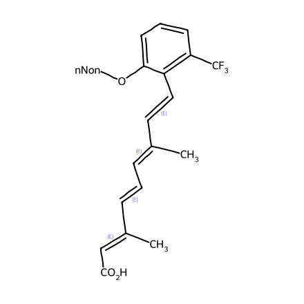 CCCCCCCCCOc1cccc(C(F)(F)F)c1/C=C/C(C)=C/C=C/C(C)=C/C(=O)O